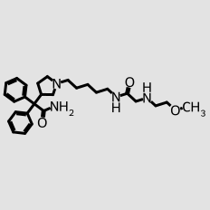 COCCNCC(=O)NCCCCCN1CCC(C(C(N)=O)(c2ccccc2)c2ccccc2)C1